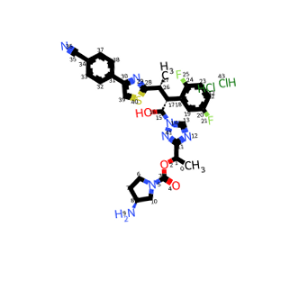 CC(OC(=O)N1CC[C@H](N)C1)c1ncn(C(O)[C@@H](c2cc(F)ccc2F)[C@@H](C)c2nc(-c3ccc(C#N)cc3)cs2)n1.Cl.Cl